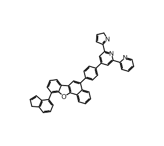 C1=CC(c2cc(-c3ccc(-c4cc5c6cccc(-c7cccc8c7C=CC8)c6oc5c5ccccc45)cc3)cc(-c3ccccn3)n2)=NC1